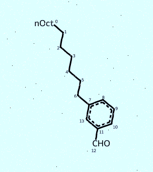 CCCCCCCCCCCCCCc1cccc(C=O)c1